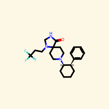 O=C1NCN(CCC(F)(F)F)C12CCN([C@@H]1CCCC[C@@H]1c1ccccc1)CC2